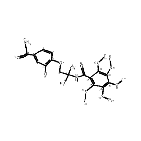 CC(C#N)(COc1ccc(C(N)=O)cc1Cl)NC(=O)c1c(SF)c(SF)c(SF)c(SF)c1SF